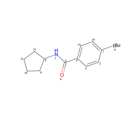 CC(C)(C)c1ccc(C(=O)NC2CCCC2)cc1